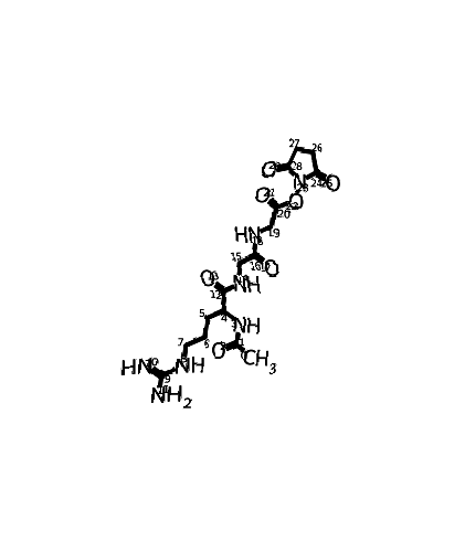 CC(=O)NC(CCCNC(=N)N)C(=O)NCC(=O)NCC(=O)ON1C(=O)CCC1=O